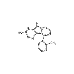 Cc1ccccc1-c1cccc2[nH]c3nc(S)nnc3c12